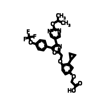 CC(C)Oc1ncc(-c2nc(COc3ccc(OCC(=O)O)cc3C3CC3)oc2-c2ccc(OC(F)(F)F)cc2)cn1